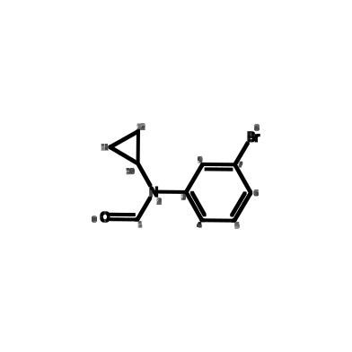 O=CN(c1cccc(Br)c1)C1CC1